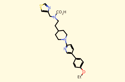 CCOc1ccc(-c2ccc(N3CCC(CCN(Cc4cscn4)C(=O)O)CC3)nc2)cc1